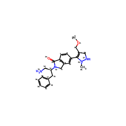 CC(C)OCC1=C(c2ccc3c(c2)CN([C@H](CN)Cc2ccccc2)C3=O)N(C)NC1